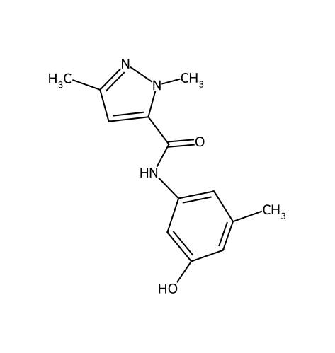 Cc1cc(O)cc(NC(=O)c2cc(C)nn2C)c1